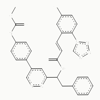 COC(=O)Nc1ccc(-c2cnnc(C(Cc3ccccc3)NC(=O)C=Cc3cc(Cl)ccc3-n3cnnn3)c2)cc1